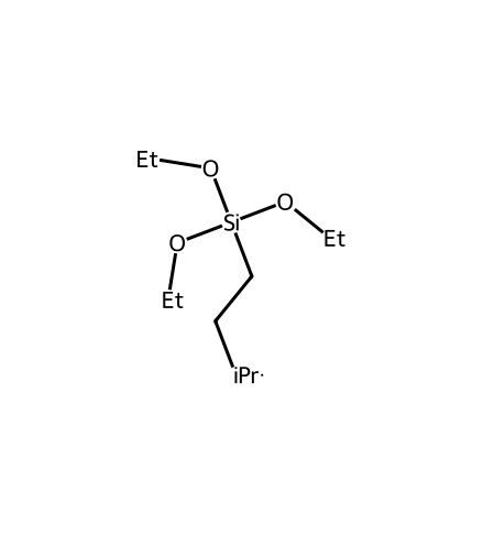 CCO[Si](CC[C](C)C)(OCC)OCC